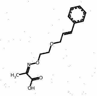 CC(=NOCCOCC=Cc1ccccc1)C(=O)O